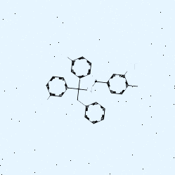 O=C(NC(Cc1ccccc1)(c1cccc(C(F)(F)F)c1)c1cccc(C(F)(F)F)c1)c1ccc(F)c(C(F)(F)F)c1